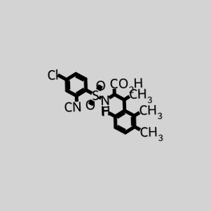 Cc1ccc(F)c(C(C)C(NS(=O)(=O)c2ccc(Cl)cc2C#N)C(=O)O)c1C